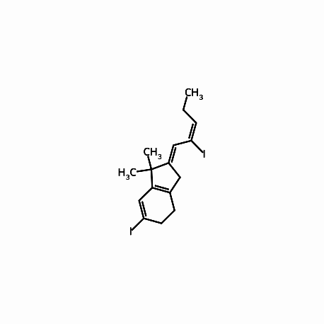 CC/C=C(I)\C=C1/CC2=C(C=C(I)CC2)C1(C)C